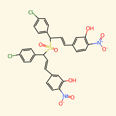 O=[N+]([O-])c1ccc(C=CC(c2ccc(Cl)cc2)S(=O)(=O)C(C=Cc2ccc([N+](=O)[O-])c(O)c2)c2ccc(Cl)cc2)cc1O